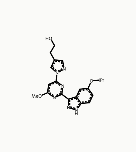 COc1cc(-n2cc(CCO)cn2)nc(-c2n[nH]c3ccc(OC(C)C)cc23)n1